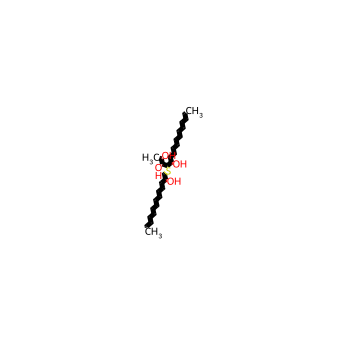 CCCCCCCCCCCCC(O)CSC(C(O)CCCCCCCCCCCC)C(O)C(C)O